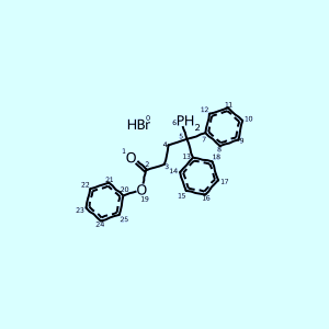 Br.O=C(CCC(P)(c1ccccc1)c1ccccc1)Oc1ccccc1